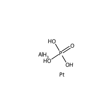 O=P(O)(O)O.[AlH3].[Pt]